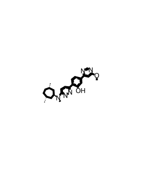 COc1cc(-c2ccc(-c3ccc(N(C)[C@H]4C[C@H](C)CC[C@H](C)C4)nn3)c(O)c2)ncn1